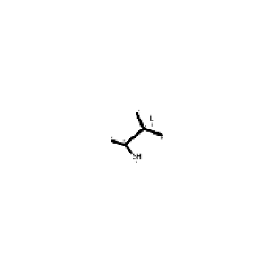 CC(C)C(C)S.[Li]